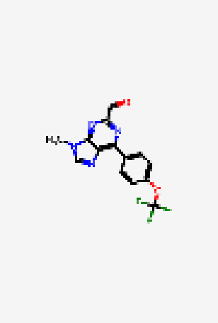 Cn1cnc2c(-c3ccc(OC(F)(F)F)cc3)nc(C=O)nc21